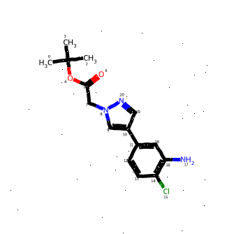 CC(C)(C)OC(=O)Cn1cc(-c2ccc(Cl)c(N)c2)cn1